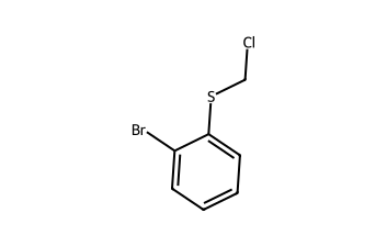 ClCSc1ccccc1Br